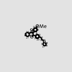 COc1ccc2c(C(=O)c3ccc(CCCN4CCCC4)cc3)c(C3CCCCC3)sc2c1